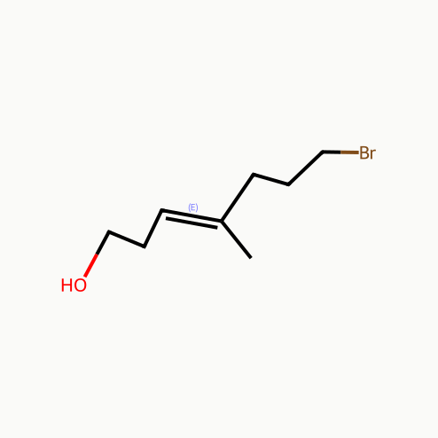 C/C(=C\CCO)CCCBr